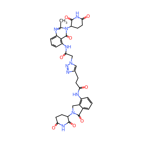 Cc1nc2cccc(NC(=O)Cn3cc(CCC(=O)Nc4cccc5c4CN(C4CCC(=O)NC4=O)C5=O)nn3)c2c(=O)n1C1CCC(=O)NC1=O